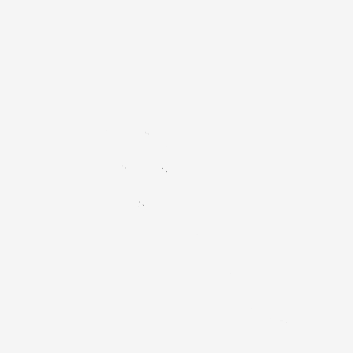 CCCCc1cccc2c1oc1cccc(-c3ccc4c5ccccc5n(-c5nc(-c6ccccc6)nc(-c6cccc7c6sc6ccccc67)n5)c4c3)c12